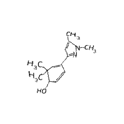 Cc1cc(C2=CC(C)(C)C(O)C=C2)nn1C